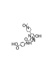 CC(=O)N1CCC(c2cc(O)n3ncc(C(=O)Nc4ccc(C(=O)O)cc4)c3n2)CC1